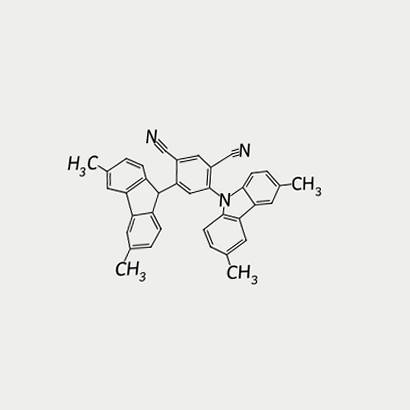 Cc1ccc2c(c1)-c1cc(C)ccc1C2c1cc(-n2c3ccc(C)cc3c3cc(C)ccc32)c(C#N)cc1C#N